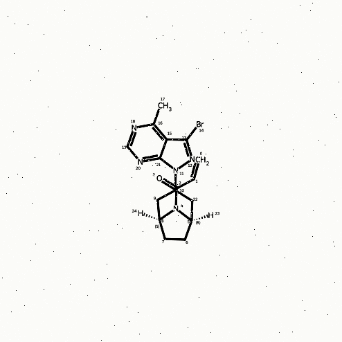 C=CC(=O)N1[C@@H]2CC[C@H]1CC(n1nc(Br)c3c(C)ncnc31)C2